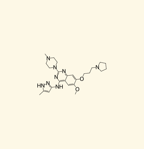 COc1cc2c(Nc3cc(C)[nH]n3)nc(N3CCN(C)CC3)nc2cc1OCCCN1CCCC1